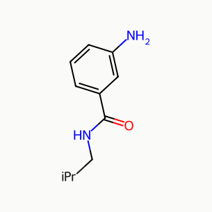 CC(C)CNC(=O)c1cccc(N)c1